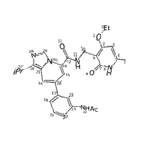 CCOc1cc(C)[nH]c(=O)c1CNC(=O)c1cc(-c2cccc(NC(C)=O)c2)cc2c(C(C)C)ncn12